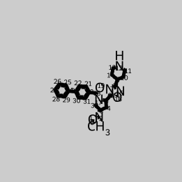 CON=C1CC(c2nc(C3CCNCC3)no2)N(C(=O)c2ccc(-c3ccccc3)cc2)C1